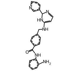 Nc1ccccc1NC(=O)c1ccc(CNC2=CC=NC(c3cccnc3)N2)cc1